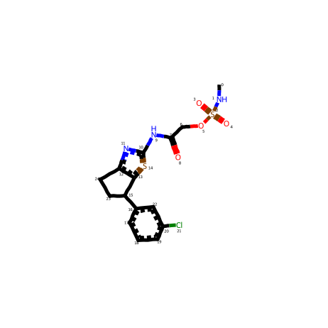 CNS(=O)(=O)OCC(=O)Nc1nc2c(s1)C(c1cccc(Cl)c1)CC2